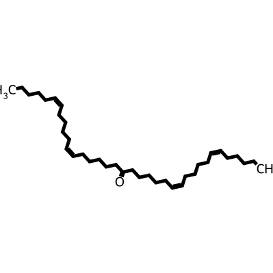 CCCCC/C=C\CCCC/C=C\CCCCCC(=O)CCCCC/C=C\CCCC/C=C\CCCCC